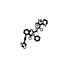 Cc1nn2cccnc2c1C(=O)N[C@H](C)c1nc2cccc(C#Cc3cocn3)c2c(=O)n1-c1ccccc1